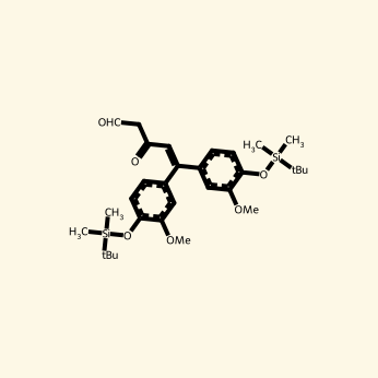 COc1cc(C(=CC(=O)CC=O)c2ccc(O[Si](C)(C)C(C)(C)C)c(OC)c2)ccc1O[Si](C)(C)C(C)(C)C